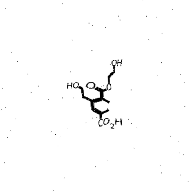 CC(=CC(CCO)=C(C)C(=O)OCCO)C(=O)O